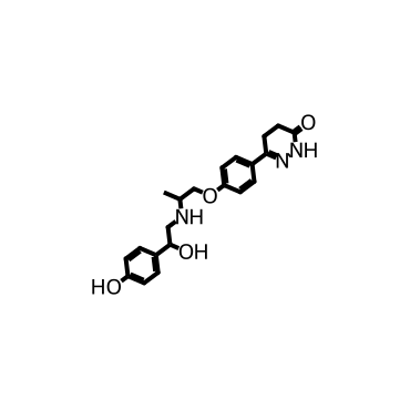 CC(COc1ccc(C2=NNC(=O)CC2)cc1)NCC(O)c1ccc(O)cc1